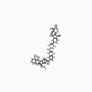 Cn1nc(Nc2c(Cl)cccc2Cl)c2cnc(Nc3ccc4c(c3)CN(CC3CCN(c5ccc6c(c5)C(=O)N(C5CCC(=O)NC5=O)C6=O)CC3)CC4)nc21